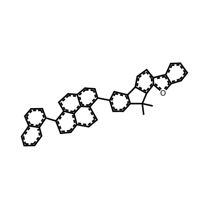 CC1(C)c2ccc(-c3ccc4ccc5c(-c6cccc7ccccc67)ccc6ccc3c4c65)cc2-c2ccc3c(oc4ccccc43)c21